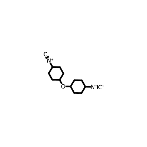 [C-]#[N+]C1CCC(OC2CCC([N+]#[C-])CC2)CC1